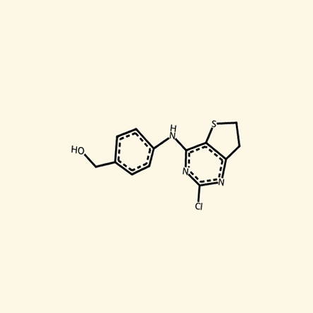 OCc1ccc(Nc2nc(Cl)nc3c2SCC3)cc1